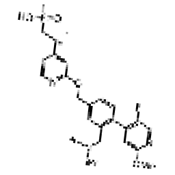 COc1cc(-c2ccc(COc3cc([C@@H](C)CP(C)(=O)O)ccn3)cc2CN(C(C)C)C(C)C)c(F)cn1